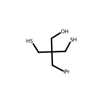 CC(C)CC(CO)(CS)CS